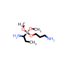 CCC(N)[Si](OC)(OC)OCCCN